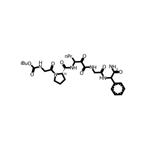 CCCC(NC(=O)[C@@H]1CCCN1C(=O)CNC(=O)OCC(C)C)C(=O)C(=O)NCC(=O)NC(C(N)=O)c1ccccc1